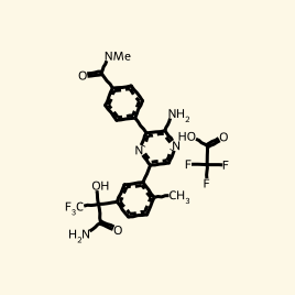 CNC(=O)c1ccc(-c2nc(-c3cc(C(O)(C(N)=O)C(F)(F)F)ccc3C)cnc2N)cc1.O=C(O)C(F)(F)F